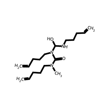 C=CCCCNC(O)N(CCCC=C)C(=O)N(C)CCCC=C